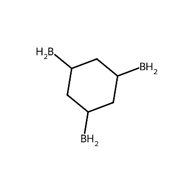 BC1CC(B)CC(B)C1